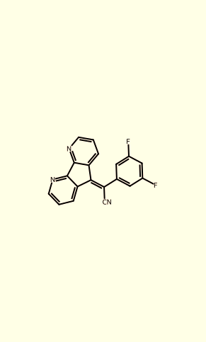 N#CC(=C1c2cccnc2-c2ncccc21)c1cc(F)cc(F)c1